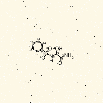 NC(=O)C(O)NS(=O)(=O)c1ccccc1